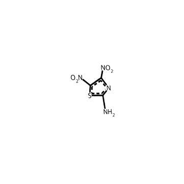 Nc1nc([N+](=O)[O-])c([N+](=O)[O-])s1